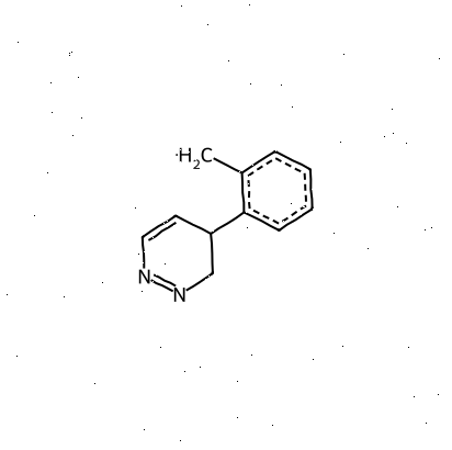 [CH2]c1ccccc1C1C=CN=NC1